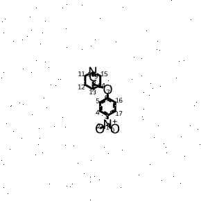 O=[N+]([O-])c1ccc(OC2CN3CCC2CC3)cc1